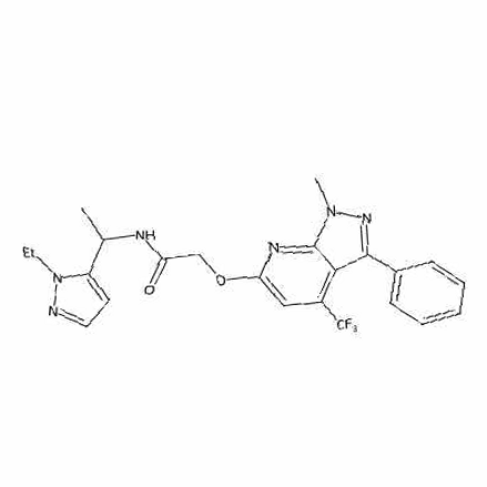 CCn1nccc1C(C)NC(=O)COc1cc(C(F)(F)F)c2c(-c3ccccc3)nn(C)c2n1